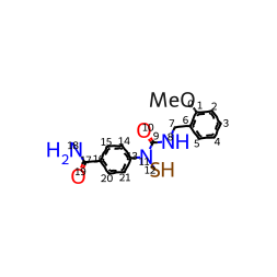 COc1ccccc1CNC(=O)N(S)c1ccc(C(N)=O)cc1